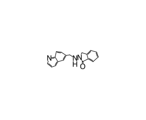 O=C1c2ccccc2CN1NCc1ccc2ncccc2c1